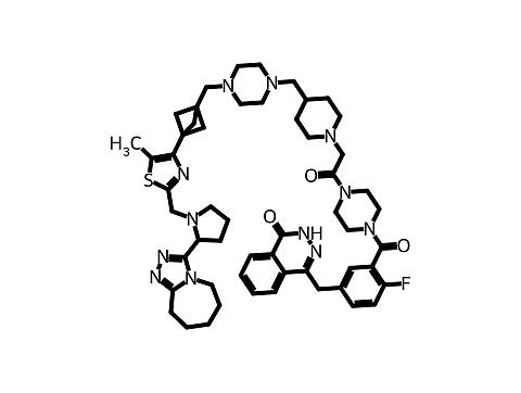 Cc1sc(CN2CCCC2c2nnc3n2CCCCC3)nc1C12CC(CN3CCN(CC4CCN(CC(=O)N5CCN(C(=O)c6cc(Cc7n[nH]c(=O)c8ccccc78)ccc6F)CC5)CC4)CC3)(C1)C2